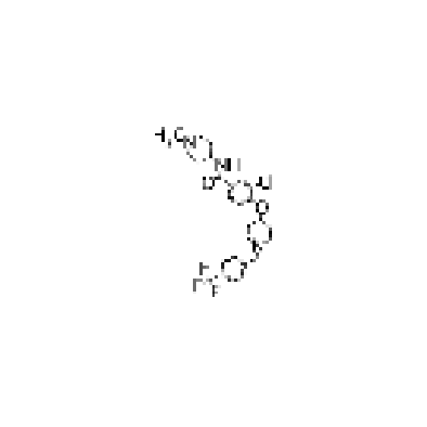 CN1CCC(NC(=O)c2ccc(OC3CCN(Cc4ccc(C(F)(F)F)cc4)CC3)c(Cl)c2)CC1